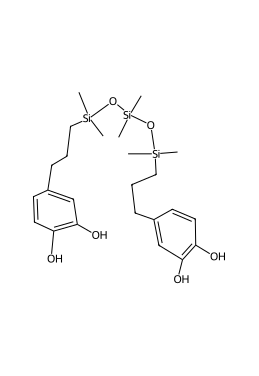 C[Si](C)(CCCc1ccc(O)c(O)c1)O[Si](C)(C)O[Si](C)(C)CCCc1ccc(O)c(O)c1